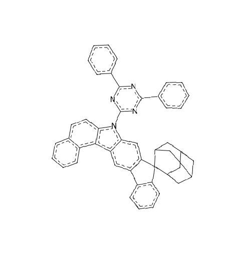 c1ccc(-c2nc(-c3ccccc3)nc(-n3c4cc5c(cc4c4c6ccccc6ccc43)-c3ccccc3C53C4CC5CC(C4)CC3C5)n2)cc1